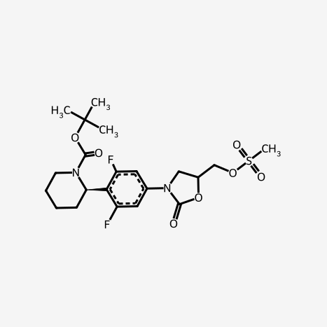 CC(C)(C)OC(=O)N1CCCC[C@@H]1c1c(F)cc(N2CC(COS(C)(=O)=O)OC2=O)cc1F